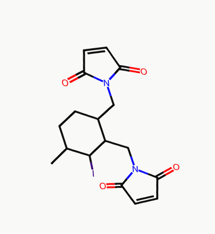 CC1CCC(CN2C(=O)C=CC2=O)C(CN2C(=O)C=CC2=O)C1I